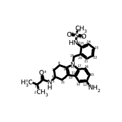 CC(C)C(=O)NC1CCc2c(c3cc(N)ccc3n2Cc2ccccc2NS(C)(=O)=O)C1